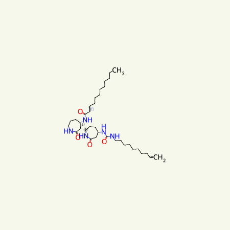 C=CCCCCCCCCNC(=O)NC1CC[C@@H](C2C(=O)NCCC[C@@H]2NC(=O)/C=C/CCCCCCCCC)NC(=O)C1